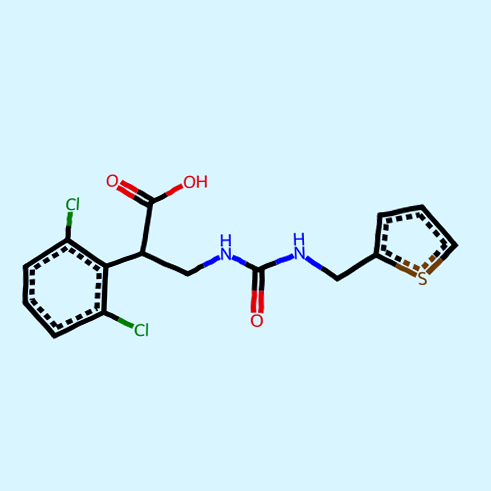 O=C(NCc1cccs1)NCC(C(=O)O)c1c(Cl)cccc1Cl